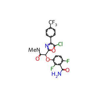 CNC(=O)C(Oc1ccc(F)c(C(N)=O)c1F)c1nc(-c2ccc(C(F)(F)F)cc2)c(Cl)o1